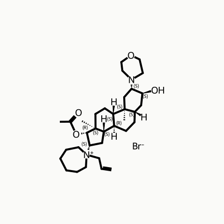 C=CC[N+]1([C@H]2C[C@H]3[C@@H]4CC[C@H]5C[C@H](O)[C@@H](N6CCOCC6)C[C@]5(C)[C@H]4CC[C@]3(C)[C@H]2OC(C)=O)CCCCCC1.[Br-]